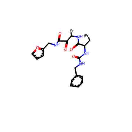 CCC(NC(=O)C(CC(C)C)NC(=O)NCc1ccccc1)C(=O)C(=O)NCc1ccco1